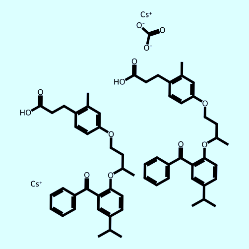 Cc1cc(OCCC(C)Oc2ccc(C(C)C)cc2C(=O)c2ccccc2)ccc1CCC(=O)O.Cc1cc(OCCC(C)Oc2ccc(C(C)C)cc2C(=O)c2ccccc2)ccc1CCC(=O)O.O=C([O-])[O-].[Cs+].[Cs+]